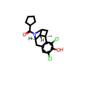 C[C@@]12CC3[C@H]1[C@@H](Cc1cc(Cl)c(O)c(Cl)c12)N3C(=O)C1CCCC1